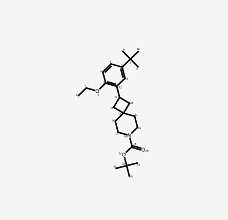 CCOc1ccc(C(C)(C)C)cc1C1CC2(CCN(C(=O)OC(C)(C)C)CC2)C1